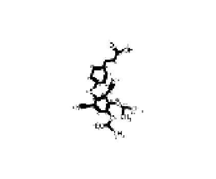 CC(C)Oc1cc(C#N)c(Sc2ccc(CCC(=O)O)cc2)c(C#N)c1OC(C)C